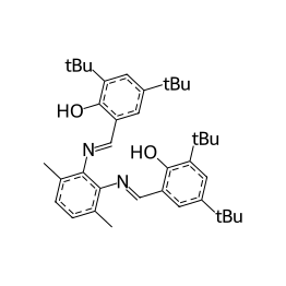 Cc1ccc(C)c(/N=C/c2cc(C(C)(C)C)cc(C(C)(C)C)c2O)c1/N=C/c1cc(C(C)(C)C)cc(C(C)(C)C)c1O